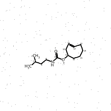 CC(C)CCNC(=O)OC1C/C=C/CCCC1